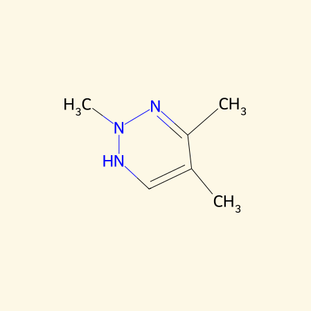 CC1=CNN(C)N=C1C